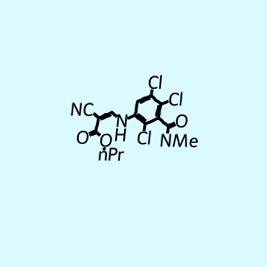 CCCOC(=O)C(C#N)=CNc1cc(Cl)c(Cl)c(C(=O)NC)c1Cl